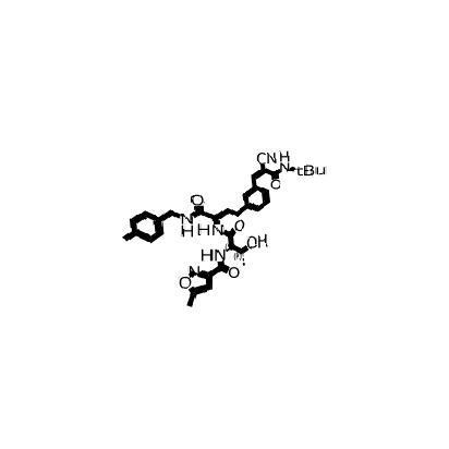 Cc1ccc(CNC(=O)C(CCc2cccc(C=C(C#N)C(=O)NC(C)(C)C)c2)NC(=O)[C@@H](NC(=O)c2cc(C)on2)[C@@H](C)O)cc1